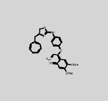 C=C/C(Oc1ccc(NC2=NC(CC3=CC=CCC=C3)CO2)cc1)=C1/C=C(OC)C(OC)=CC1=N